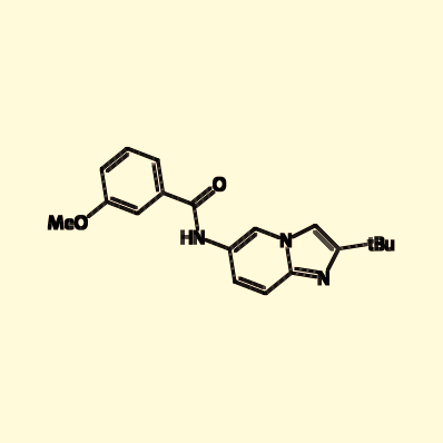 COc1cccc(C(=O)Nc2ccc3nc(C(C)(C)C)cn3c2)c1